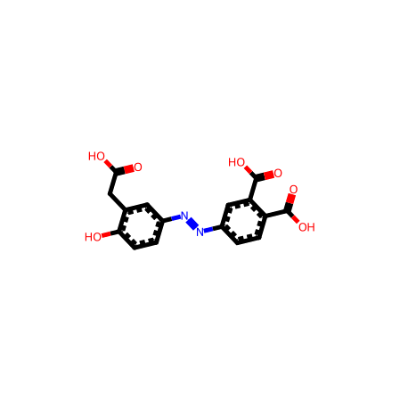 O=C(O)Cc1cc(/N=N/c2ccc(C(=O)O)c(C(=O)O)c2)ccc1O